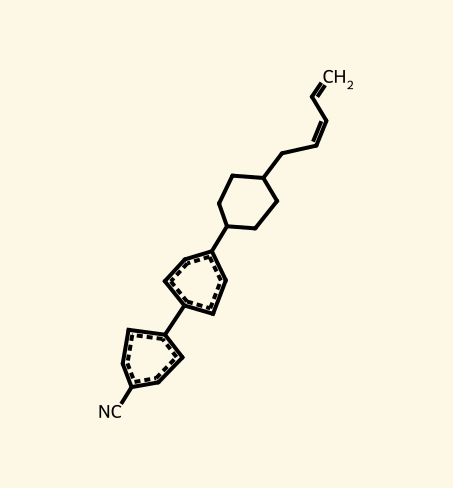 C=C/C=C\CC1CCC(c2ccc(-c3ccc(C#N)cc3)cc2)CC1